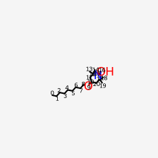 CCCCCCCCCOC1CC(C)(C)N(O)C(C)(C)C1